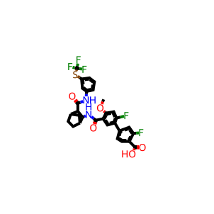 COc1cc(F)c(-c2ccc(C(=O)O)c(F)c2)cc1C(=O)NC1C2CCC(C2)C1C(=O)Nc1cccc(SC(F)(F)F)c1